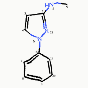 CNc1ccn(-c2ccccc2)n1